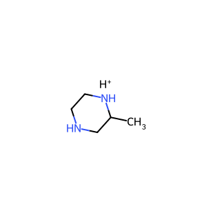 CC1CNCCN1.[H+]